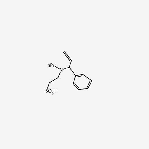 C=CC(c1ccccc1)N(CCC)CCS(=O)(=O)O